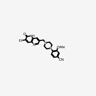 CCc1cc2ncc(CN3CCN(c4ccc(C#N)cc4OC)CC3)cc2[nH]c1=O